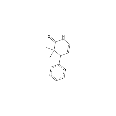 CC1(C)C(=O)NC=CC1c1ccccc1